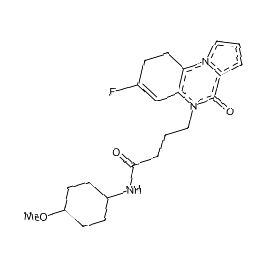 COC1CCC(NC(=O)CCCn2c3c(n4cccc4c2=O)CCC(F)=C3)CC1